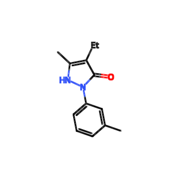 CCc1c(C)[nH]n(-c2cccc(C)c2)c1=O